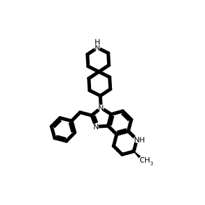 C[C@H]1CCc2c(ccc3c2nc(Cc2ccccc2)n3C2CCC3(CCNCC3)CC2)N1